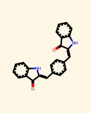 O=C1C(=Cc2ccc(C=C3Nc4ccccc4C3=O)cc2)Nc2ccccc21